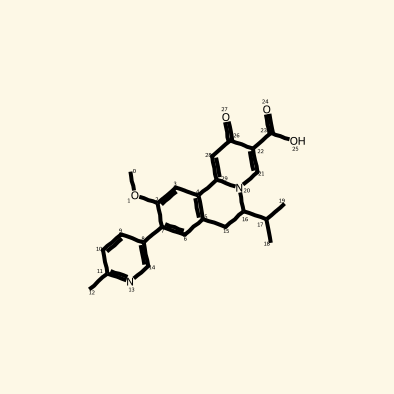 COc1cc2c(cc1-c1ccc(C)nc1)CC(C(C)C)n1cc(C(=O)O)c(=O)cc1-2